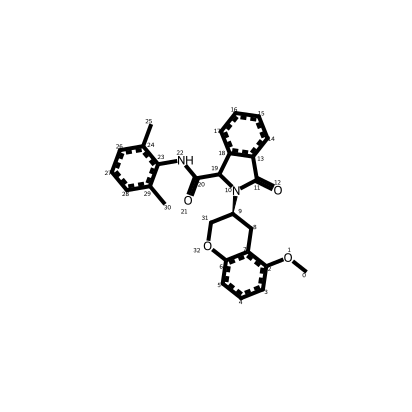 COc1cccc2c1C[C@H](N1C(=O)c3ccccc3C1C(=O)Nc1c(C)cccc1C)CO2